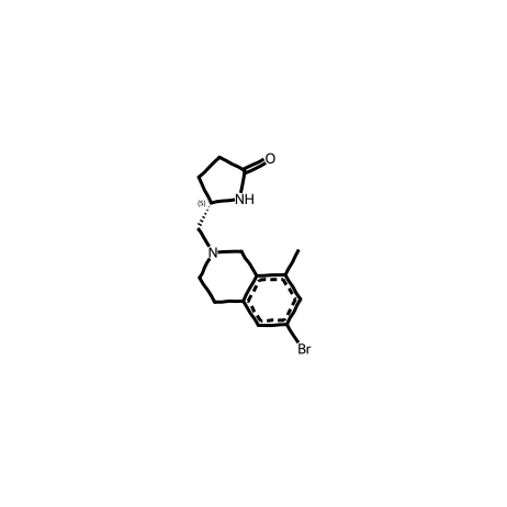 Cc1cc(Br)cc2c1CN(C[C@@H]1CCC(=O)N1)CC2